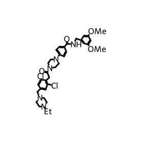 CCN1CCN(Cc2cc(Cl)c(CC(=O)N3CCN(c4ccc(C(=O)NCc5cc(OC)cc(OC)c5)cc4)CC3)c(Cl)c2)CC1